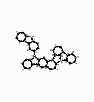 c1ccc2c(c1)sc1ccc(-n3c4ccccc4c4cc5ccc6c(c5cc43)c3cccc4c5ccccc5n6c43)cc12